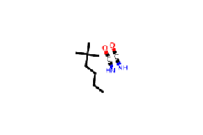 CCCCC(C)(C)C.N=C=O.N=C=O